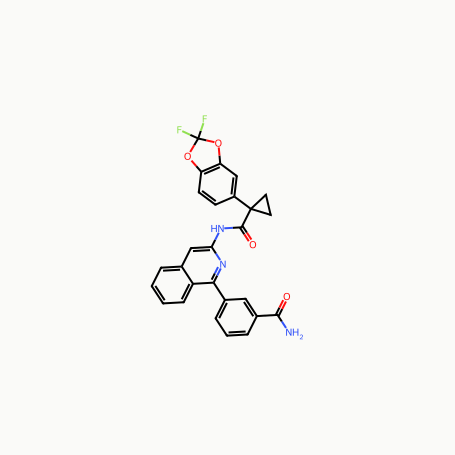 NC(=O)c1cccc(-c2nc(NC(=O)C3(c4ccc5c(c4)OC(F)(F)O5)CC3)cc3ccccc23)c1